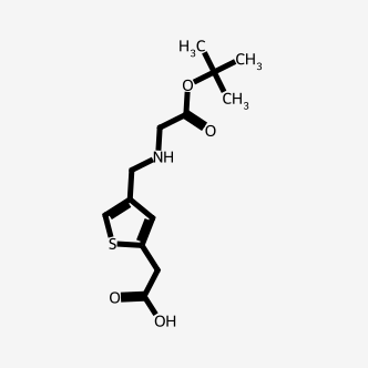 CC(C)(C)OC(=O)CNCc1csc(CC(=O)O)c1